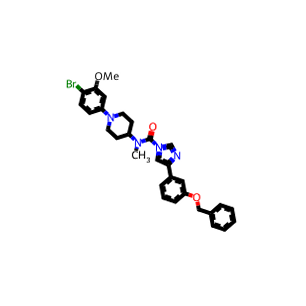 COc1cc(N2CCC(N(C)C(=O)n3cnc(-c4cccc(OCc5ccccc5)c4)c3)CC2)ccc1Br